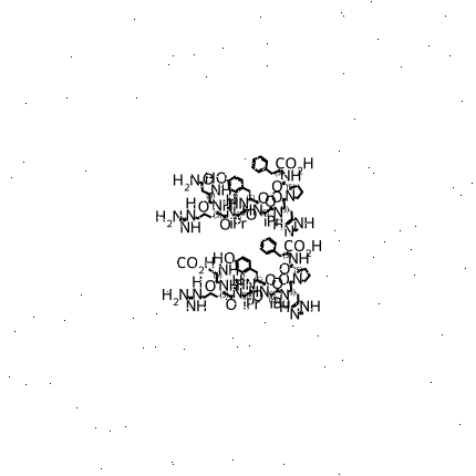 CC(C)[C@H](NC(=O)[C@H](CCCNC(=N)N)NC(=O)[C@@H](N)CC(N)=O)C(=O)N[C@@H](Cc1ccc(O)cc1)C(=O)N[C@H](C(=O)N[C@@H](Cc1cnc[nH]1)C(=O)N1CCC[C@H]1C(=O)N[C@@H](Cc1ccccc1)C(=O)O)C(C)C.CC[C@H](C)[C@H](NC(=O)[C@H](Cc1ccc(O)cc1)NC(=O)[C@@H](NC(=O)[C@H](CCCNC(=N)N)NC(=O)[C@@H](N)CC(=O)O)C(C)C)C(=O)N[C@@H](Cc1cnc[nH]1)C(=O)N1CCC[C@H]1C(=O)N[C@@H](Cc1ccccc1)C(=O)O